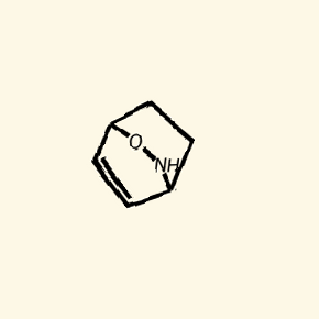 C1=CC2CC[C]1NO2